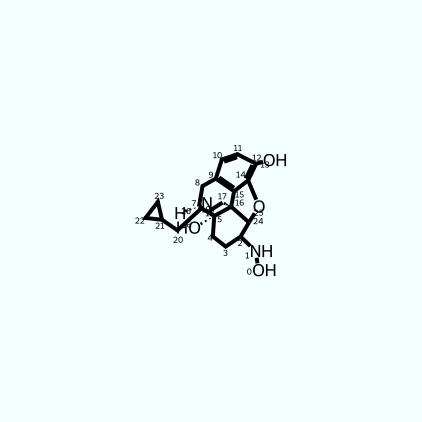 ONC1CC[C@@]2(O)[C@H]3Cc4ccc(O)c5c4[C@@]2(CCN3CC2CC2)C1O5